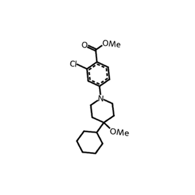 COC(=O)c1ccc(N2CCC(OC)(C3CCCCC3)CC2)cc1Cl